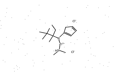 CCC(C)([N]([Zr+2][SiH](C)C)C1=CC=CC1)C(C)(C)C.[Cl-].[Cl-]